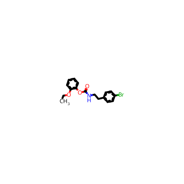 CCOc1ccccc1OC(=O)NCCc1ccc(Br)cc1